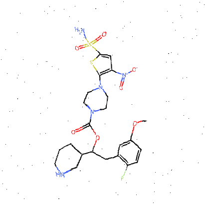 COc1ccc(F)c(CC(OC(=O)N2CCN(c3sc(S(N)(=O)=O)cc3[N+](=O)[O-])CC2)C2CCCNC2)c1